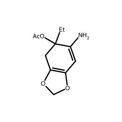 CCC1(OC(C)=O)CC2=C(C=C1N)OCO2